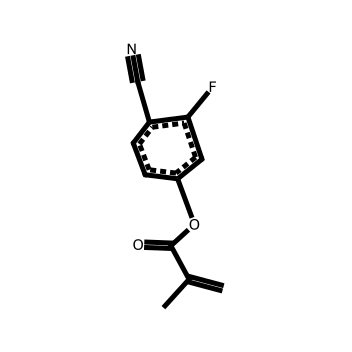 C=C(C)C(=O)Oc1ccc(C#N)c(F)c1